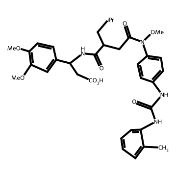 COc1ccc(C(CC(=O)O)NC(=O)C(CC(=O)N(OC)c2ccc(NC(=O)Nc3ccccc3C)cc2)CC(C)C)cc1OC